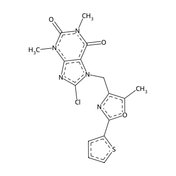 Cc1oc(-c2cccs2)nc1Cn1c(Cl)nc2c1c(=O)n(C)c(=O)n2C